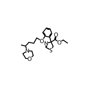 CCOC(=O)C1(c2ccccc2OCCCC(C)N2CCOCC2)CSC=N1